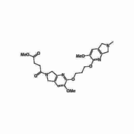 COC(=O)CCC(=O)N1Cc2cc(OC)c(OCCCOc3nc4c(cc3OC)CN(C)C4)nc2C1